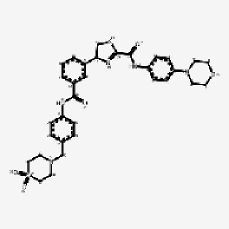 O=C(Nc1ccc(N2CCOCC2)cc1)C1=NC(c2cccc(C(=O)Nc3ccc(CN4CCS(=O)(=O)CC4)cc3)c2)CS1